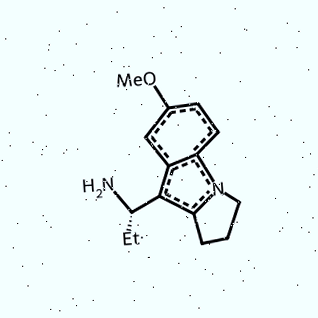 C[CH][C@H](N)c1c2n(c3ccc(OC)cc13)CCC2